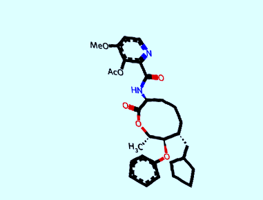 COc1ccnc(C(=O)N[C@H]2CCC[C@H](CC3CCCC3)[C@@H](Oc3ccccc3)[C@H](C)OC2=O)c1OC(C)=O